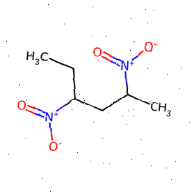 CCC(CC(C)[N+](=O)[O-])[N+](=O)[O-]